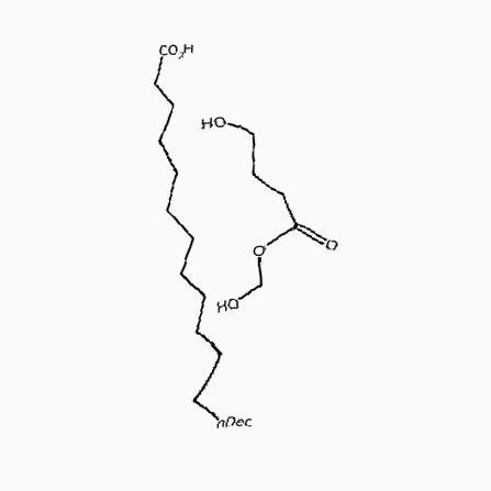 CCCCCCCCCCCCCCCCCCCCCC(=O)O.O=C(CCCO)OCO